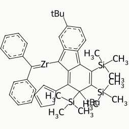 CC(C)(C)c1ccc2c(c1)=[C]([Zr]=[C](c1ccccc1)c1ccccc1)C1=C(C3=CC=CC3)C(C(C)(C)C)([Si](C)(C)C)C([Si](C)(C)C)=C([Si](C)(C)C)C=21